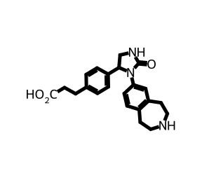 O=C(O)CCc1ccc(C2CNC(=O)N2c2ccc3c(c2)CCNCC3)cc1